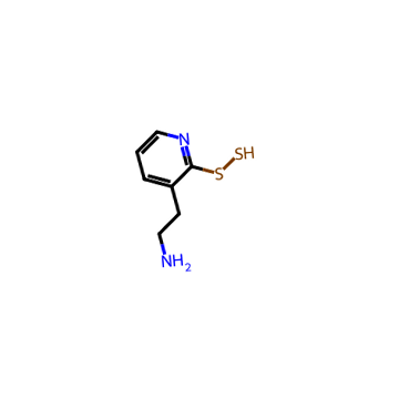 NCCc1cccnc1SS